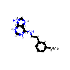 COc1cccc(CCNc2ncnc3[nH]cnc23)c1